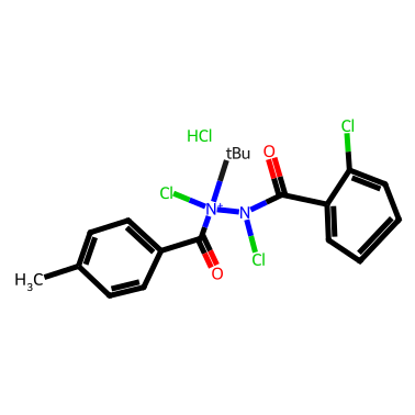 Cc1ccc(C(=O)[N+](Cl)(N(Cl)C(=O)c2ccccc2Cl)C(C)(C)C)cc1.Cl